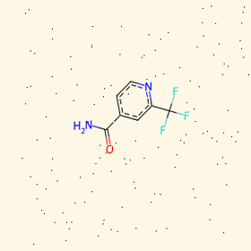 NC(=O)c1ccnc(C(F)(F)F)c1